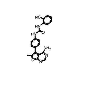 Cc1oc2ncnc(N)c2c1-c1ccc(NC(=O)Nc2ccccc2C#N)cc1